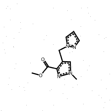 COC(=O)c1nn(C)cc1Cn1cccn1